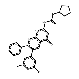 Cc1cc(-c2cc3c(=O)cc(NC(=O)NC4CCCC4)[nH]c3nc2-c2ccccc2)cc(Cl)n1